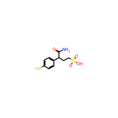 NC(=O)C(CCS(=O)(=O)O)c1ccc(S)cc1